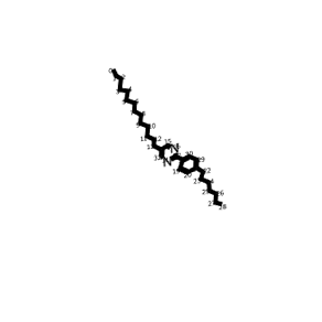 CCCCCCCCCCCCCCc1cnc(-c2ccc(CCCCCCC)cc2)nc1